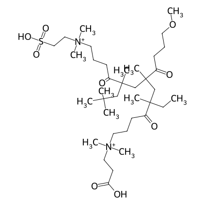 CCC(C)(CC(C)(CC(C)(CC(C)(C)C)C(=O)CCC[N+](C)(C)CCS(=O)(=O)O)C(=O)CCCOC)C(=O)CCC[N+](C)(C)CCC(=O)O